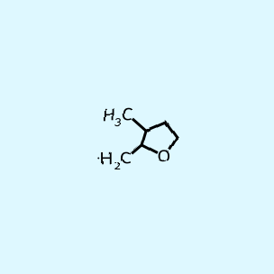 [CH2]C1OCCC1C